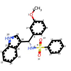 COc1cccc([C@H](NS(=O)(=O)c2ccccc2)c2c[nH]c3ccccc23)c1